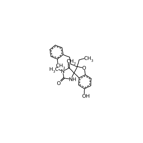 C=C1N(C)C(=O)NC12c1cc(O)ccc1OC2(CC)CCc1ccccc1C